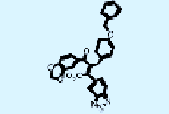 O=C(O)C(=C(Cc1ccc(OCc2ccccc2)cc1)C(=O)c1ccc2c(c1)OCO2)c1ccc2nsnc2c1